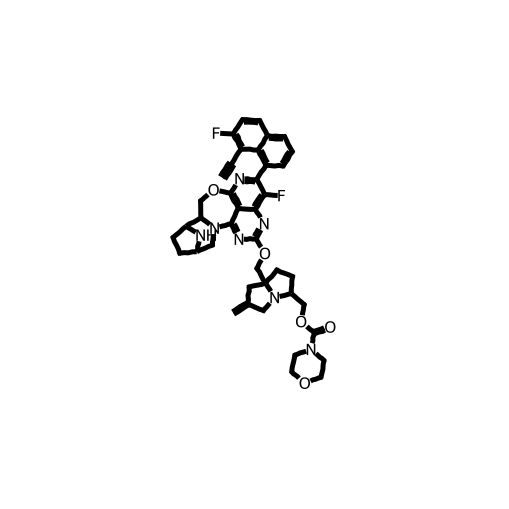 C#Cc1c(F)ccc2cccc(-c3nc4c5c(nc(OCC67CCC(COC(=O)N8CCOCC8)N6CC(=C)C7)nc5c3F)N3CC5CCC(N5)C3CO4)c12